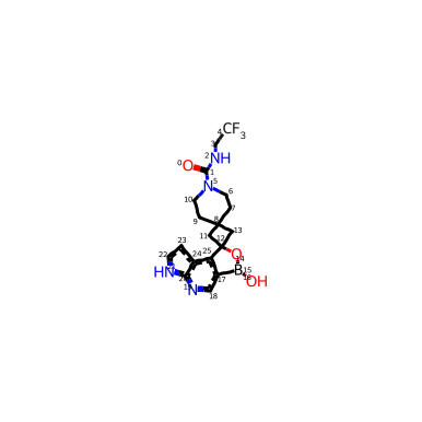 O=C(NCC(F)(F)F)N1CCC2(CC1)CC1(C2)OB(O)c2cnc3[nH]ccc3c21